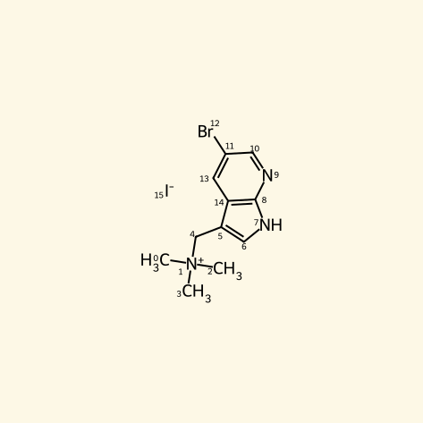 C[N+](C)(C)Cc1c[nH]c2ncc(Br)cc12.[I-]